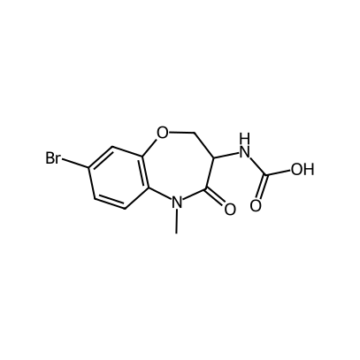 CN1C(=O)C(NC(=O)O)COc2cc(Br)ccc21